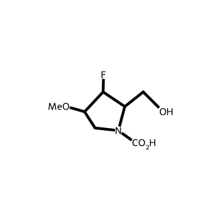 COC1CN(C(=O)O)C(CO)C1F